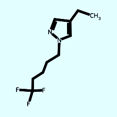 CCc1cnn(CCCCC(F)(F)F)c1